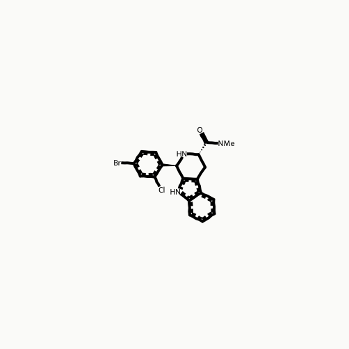 CNC(=O)[C@@H]1Cc2c([nH]c3ccccc23)[C@@H](c2ccc(Br)cc2Cl)N1